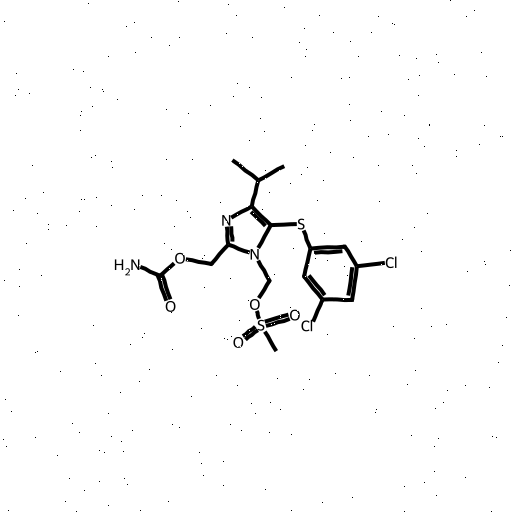 CC(C)c1nc(COC(N)=O)n(COS(C)(=O)=O)c1Sc1cc(Cl)cc(Cl)c1